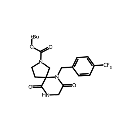 CC(C)(C)OC(=O)N1CCC2(C1)C(=O)NCC(=O)N2Cc1ccc(C(F)(F)F)cc1